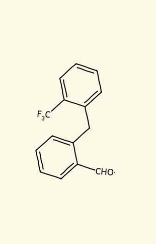 O=[C]c1ccccc1Cc1ccccc1C(F)(F)F